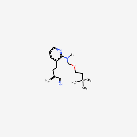 C=C(C=N)CCc1cccnc1N(CC)COCC[Si](C)(C)C